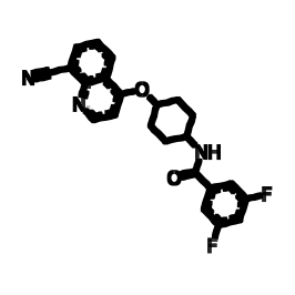 N#Cc1cccc2c(OC3CCC(NC(=O)c4cc(F)cc(F)c4)CC3)ccnc12